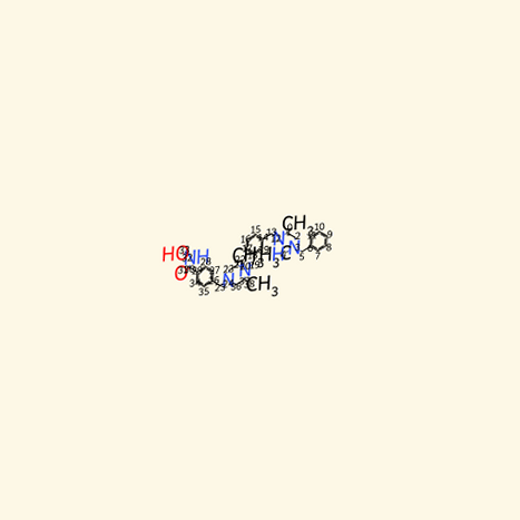 CC(CN(C)Cc1ccccc1)NCc1cccc(CN2[C@H](C)CN(Cc3ccc(C(=O)NO)cc3)C[C@@H]2C)c1